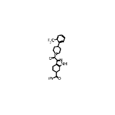 CC(C)C(=O)C1CCc2c(C(=O)N3CCC(c4ccccc4C(F)(F)F)CC3)n[nH]c2C1